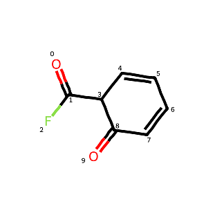 O=C(F)C1C=CC=CC1=O